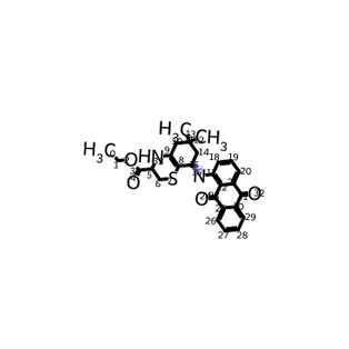 CCOC(=O)C1CSC2=C(CC(C)(C)C/C2=N\c2cccc3c2C(=O)c2ccccc2C3=O)N1